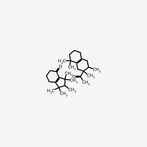 CC(=O)C1(C)CC2=C(CCCC2(C)C)CC1C.CC1C(C)(C)C2=C(C(=O)CCC2)C1(C)C